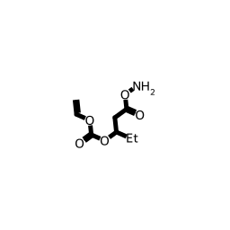 C=COC(=O)OC(CC)CC(=O)ON